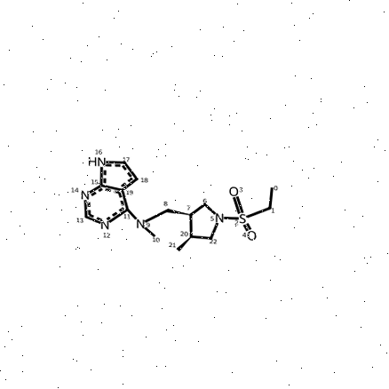 CCS(=O)(=O)N1C[C@H](CN(C)c2ncnc3[nH]ccc23)[C@H](C)C1